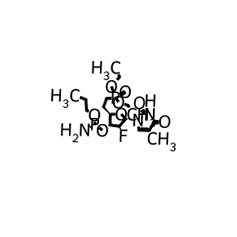 CCCOP(N)O[C@H]1[C@@H](F)[C@@H](n2cc(C)c(=O)[nH]c2=O)O[C@@H]1CCP(=O)(OCC)OCC